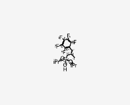 CC(Cc1c(F)c(F)c(F)c(F)c1F)C[Si](O)(OC(C)C)OC(C)C